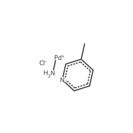 Cc1cccnc1.[Cl-].[NH2][Pd+]